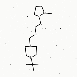 CN1CCCC1CCOCC1CCN(C(C)(C)C)CC1